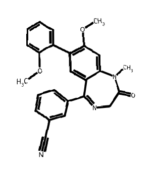 COc1ccccc1-c1cc2c(cc1OC)N(C)C(=O)CN=C2c1cccc(C#N)c1